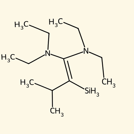 CCN(CC)C(=C([SiH3])C(C)C)N(CC)CC